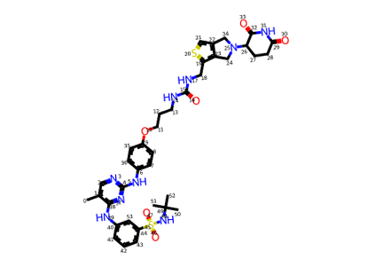 Cc1cnc(Nc2ccc(OCCCNC(=O)NCc3scc4c3CN(C3CCC(=O)NC3=O)C4)cc2)nc1Nc1cccc(S(=O)(=O)NC(C)(C)C)c1